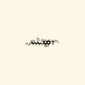 CC(=O)Oc1ccc2c(O)c(OC/C=C(\C)CCC=C(C)C)c(=O)oc2c1